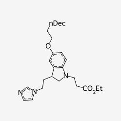 CCCCCCCCCCCCOc1ccc2c(c1)C(CCn1ccnc1)CN2CCC(=O)OCC